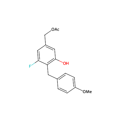 COc1ccc(Cc2c(O)cc(COC(C)=O)cc2F)cc1